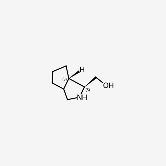 OC[C@H]1NCC2CCC[C@@H]21